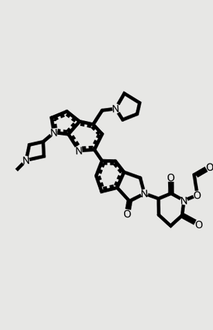 CN1CC(n2ccc3c(CN4CCCC4)cc(-c4ccc5c(c4)CN(C4CCC(=O)N(OC=O)C4=O)C5=O)nc32)C1